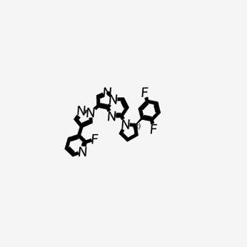 Fc1ccc(F)c([C@H]2CCCN2c2ccn3ncc(-n4cc(-c5cccnc5F)cn4)c3n2)c1